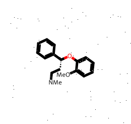 CNCC[C@@H](Oc1ccccc1OC)c1ccccc1